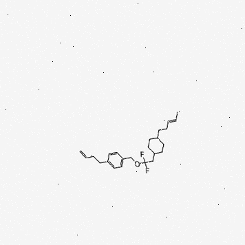 C=CCCc1ccc(COC(F)(F)CC2CCC(CCC=CC)CC2)cc1